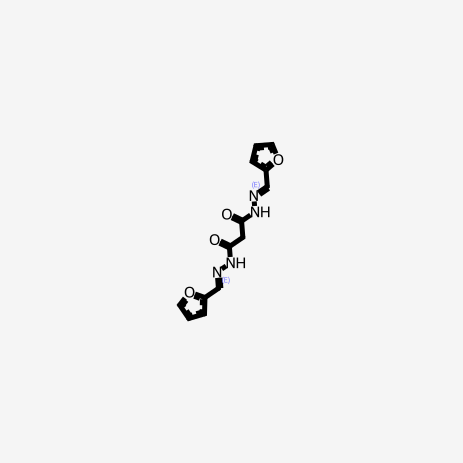 O=C(CC(=O)N/N=C/c1ccco1)N/N=C/c1ccco1